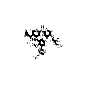 COc1c(Nc2cc(Nc3ccc(OC[C@H](O)CO)cn3)ncc2C(=O)C2CC2)cccc1-c1ncn(C)n1